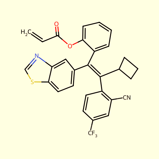 C=CC(=O)Oc1ccccc1/C(=C(/c1ccc(C(F)(F)F)cc1C#N)C1CCC1)c1ccc2scnc2c1